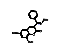 CSc1cc(C(C)(C)C)cc2cc(/C(=N/OC(C)=O)c3ccccc3)c(=O)oc12